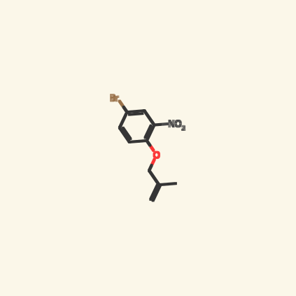 C=C(C)COc1ccc(Br)cc1[N+](=O)[O-]